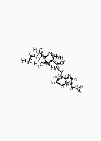 C=C(O/C=C\C)c1nc(N)c(C(=O)NCc2cccc3c2ncn3CC2CC2)nc1C